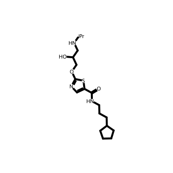 CC(C)NCC(O)COc1ncc(C(=O)NCCCC2CCCC2)s1